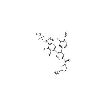 CC(C)(O)Cn1nnc2cc(-c3ccc(C(=O)N4CCC(N)C4)cc3-c3ccc(C#N)c(F)c3)c(F)c(F)c21